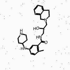 Cc1ccc(NC2CCNCC2)cc1C(=O)NCC(O)CN1CCc2ccccc2C1